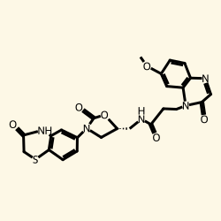 COc1ccc2ncc(=O)n(CCC(=O)NC[C@@H]3CN(c4ccc5c(c4)NC(=O)CS5)C(=O)O3)c2c1